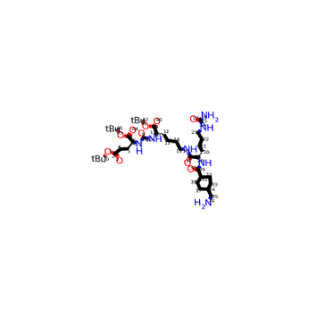 CC(C)(C)OC(=O)CC[C@H](NC(=O)N[C@@H](CCCCNC(=O)[C@H](CCCCNC(N)=O)NC(=O)C1CCC(CN)CC1)C(=O)OC(C)(C)C)C(=O)OC(C)(C)C